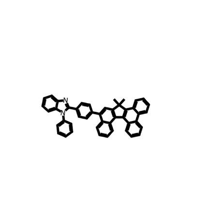 CC1(C)c2cc(-c3ccc(-c4nc5ccccc5n4-c4ccccc4)cc3)c3ccccc3c2-c2c1c1ccccc1c1ccccc21